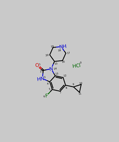 Cl.O=c1[nH]c2c(F)cc(C3CC3)cc2n1C1CCNCC1